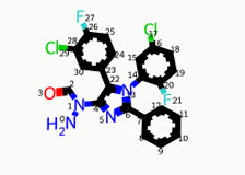 NN(C=O)c1nc(-c2ccccc2)n(-c2cc(Cl)ccc2F)c1-c1ccc(F)c(Cl)c1